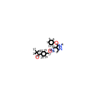 Cc1nn(C)c(Oc2ccccc2)c1/C=N/OCc1ccc(C(=O)C(C)(C)C)cc1